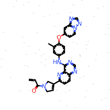 C=CC(=O)N1CC=C(c2ccc3ncnc(Nc4ccc(Oc5ccn6ncnc6c5)c(C)c4)c3n2)C1